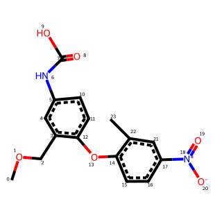 COCc1cc(NC(=O)O)ccc1Oc1ccc([N+](=O)[O-])cc1C